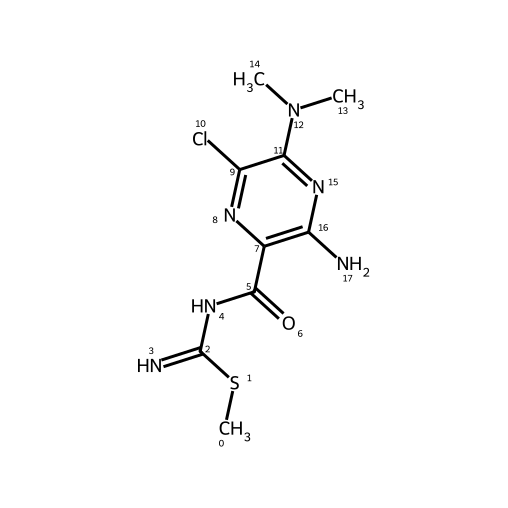 CSC(=N)NC(=O)c1nc(Cl)c(N(C)C)nc1N